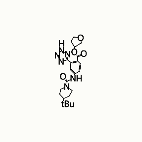 CC(C)(C)C1CCN(C(=O)Nc2ccc(C(=O)OC3CCOC3)c(-c3nn[nH]n3)c2)CC1